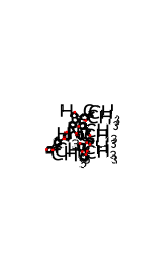 CC(C)(C)c1ccc(C2(c3ccc(C(C)(C)C)cc3)c3ccccc3-c3ccc(N(c4ccc(-c5ccc6c(c5)C(C)(C)c5ccccc5-6)cc4)c4ccc(-c5ccccc5-c5cccc6c5C(C)(C)c5ccccc5-6)cc4)cc32)cc1